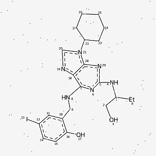 CCC(CO)Nc1nc(NCc2cc(I)ccc2O)c2ncn(C3CCCCC3)c2n1